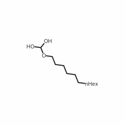 CCCCCCCCCCCCOC(O)O